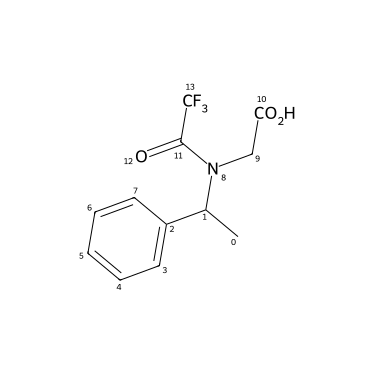 CC(c1ccccc1)N(CC(=O)O)C(=O)C(F)(F)F